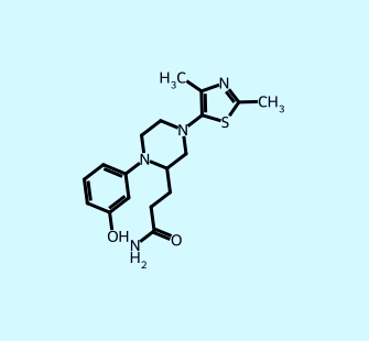 Cc1nc(C)c(N2CCN(c3cccc(O)c3)C(CCC(N)=O)C2)s1